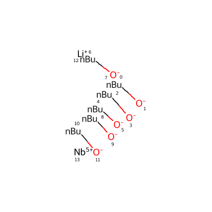 CCCC[O-].CCCC[O-].CCCC[O-].CCCC[O-].CCCC[O-].CCCC[O-].[Li+].[Nb+5]